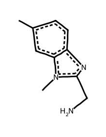 Cc1ccc2nc(CN)n(C)c2c1